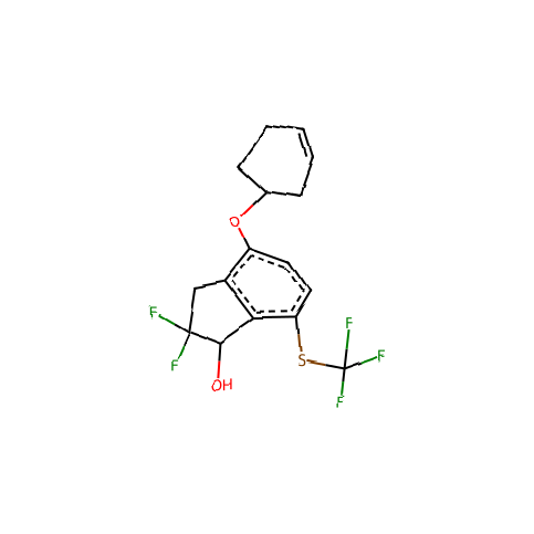 OC1c2c(SC(F)(F)F)ccc(OC3CC=CCC3)c2CC1(F)F